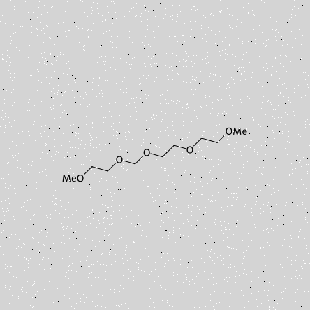 COCCOCCOCOCCOC